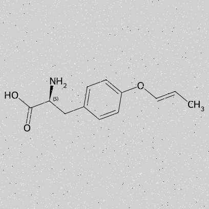 CC=COc1ccc(C[C@H](N)C(=O)O)cc1